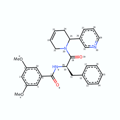 COc1cc(OC)cc(C(=O)N[C@H](Cc2ccccc2)C(=O)N2CC=CCC2c2cccnc2)c1